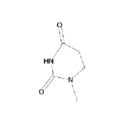 O=C1CCN(I)C(=O)N1